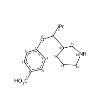 CC(C)C(Oc1ccc(C(=O)O)cc1)C1CCCNC1